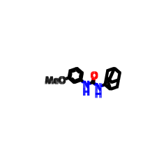 COc1cccc(NC(=O)NC2C3CC4CC(C3)CC2C4)c1